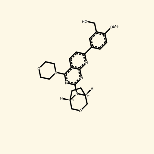 COc1ccc(-c2ccc3c(N4CCOCC4)nc(N4[C@@H]5CC[C@H]4COC5)nc3n2)cc1CO